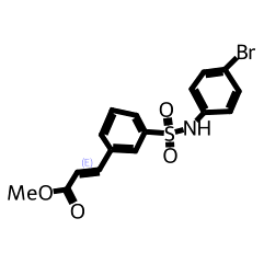 COC(=O)/C=C/c1cccc(S(=O)(=O)Nc2ccc(Br)cc2)c1